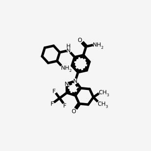 CC1(C)CC(=O)c2c(C(F)(F)F)nn(-c3ccc(C(N)=O)c(NC4CCCCC4N)c3)c2C1